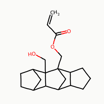 C=CC(=O)OCC12CC(C3CCCC31)C1C3CCC(C3)C12CO